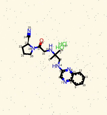 CC(C)(CNc1cnc2ccccc2n1)NCC(=O)N1CCC[C@H]1C#N.Cl.Cl